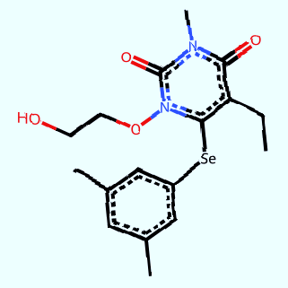 CCc1c([Se]c2cc(C)cc(C)c2)n(OCCO)c(=O)n(C)c1=O